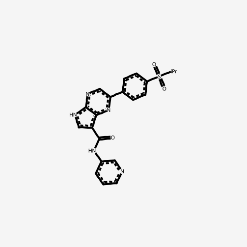 CC(C)S(=O)(=O)c1ccc(-c2cnc3[nH]cc(C(=O)Nc4cccnc4)c3n2)cc1